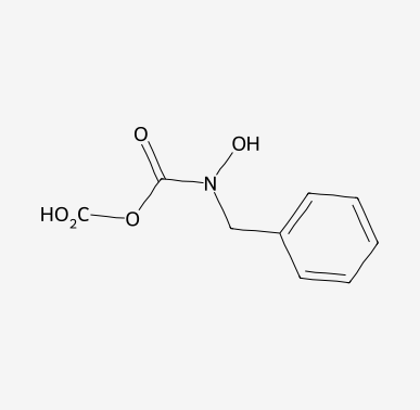 O=C(O)OC(=O)N(O)Cc1ccccc1